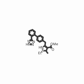 CCN1NC(Cc2ccc(-c3ccccc3-c3nn[nH]n3)cc2)=C(C(=O)OC)C1C